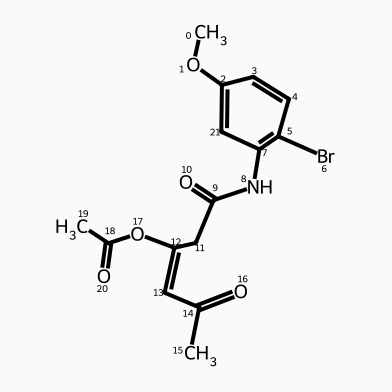 COc1ccc(Br)c(NC(=O)CC(=CC(C)=O)OC(C)=O)c1